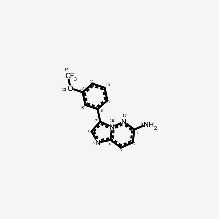 Nc1ccc2ncc(-c3cccc(OC(F)(F)F)c3)n2n1